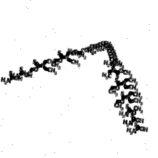 C.C.C.C.C.C.C.C.C.C.C.C.C.C.CC.CCC.CCN(CC)C(=S)OC.CCOC(=S)N(CC)CC.CCOC(=S)N(CC)CC.CCOC(=S)N(CC)CC.CCOC(=S)N(CC)CC.COC(N)=S.NC(O)=S.NC(O)=S.NC(O)=S.NC(O)=S